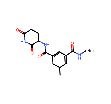 CCCCCCNC(=O)C1=CC(C)CC(C(=O)NC2CCC(=O)NC2=O)=C1